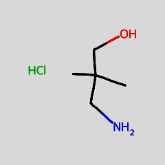 CC(C)(CN)CO.Cl